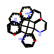 C1=CNC(c2ccccc2)(C(C2(c3ccccc3)C=CC=CN2)(C2(c3ccccc3)C=CC=CN2)C2(c3ccccc3)C=CC=CN2)C=C1